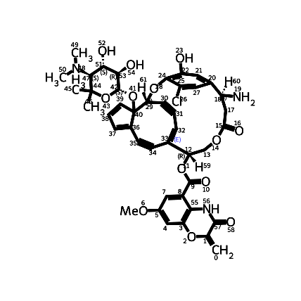 C=C1Oc2cc(OC)cc(C(=O)O[C@H]3COC(=O)C[C@H](N)c4cc(O)c(c(Cl)c4)O[C@@H]4C#C/C=C/3C#CC3=CC=CC34O[C@@H]3OC(C)(C)[C@@H](N(C)C)[C@H](O)[C@H]3O)c2NC1=O